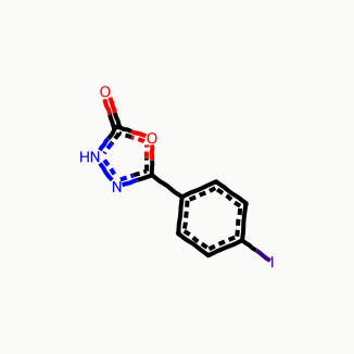 O=c1[nH]nc(-c2ccc(I)cc2)o1